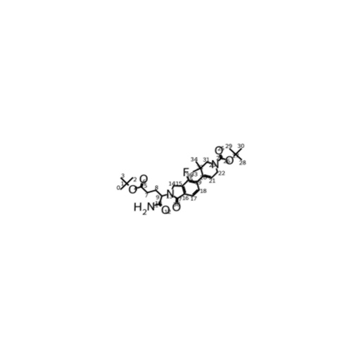 CC(C)(C)OC(=O)CCC(C(N)=O)N1Cc2c(ccc(C3=CCN(C(=O)OC(C)(C)C)CC3(C)C)c2F)C1=O